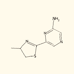 CC1CSC(c2cncc(N)n2)=N1